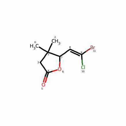 CC1(C)CC(=O)OC1/C=C(\Cl)Br